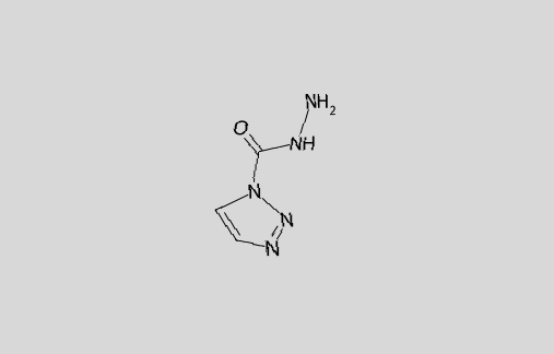 NNC(=O)n1ccnn1